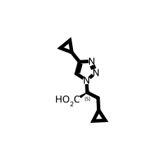 O=C(O)[C@H](CC1CC1)n1cc(C2CC2)nn1